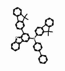 CC1(C)c2ccccc2-c2ccc(-c3cc(N(c4ccc(-c5ccccc5)cc4)c4ccc5c(c4)C(C)(C)c4ccccc4-5)cc4c3oc3ccccc34)cc21